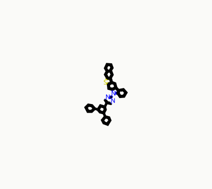 c1ccc(-c2cc(-c3ccccc3)cc(-c3cnc(-n4c5ccccc5c5cc6c(cc54)sc4cc5ccccc5cc46)nc3)c2)cc1